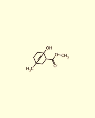 COC(=O)C1CC2(C)C=CC1(O)CC2